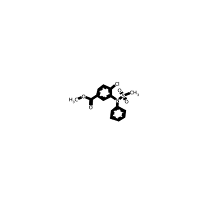 COC(=O)c1ccc(Cl)c(N(c2ccccc2)S(C)(=O)=O)c1